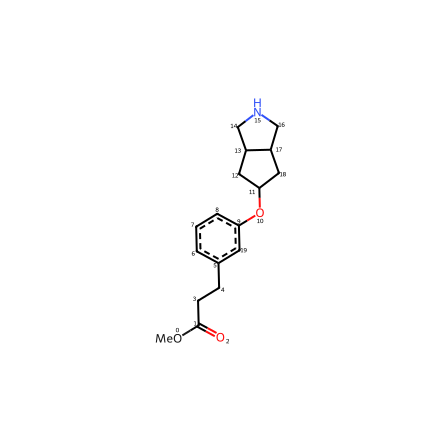 COC(=O)CCc1cccc(OC2CC3CNCC3C2)c1